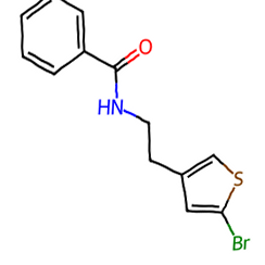 O=C(NCCc1csc(Br)c1)c1ccccc1